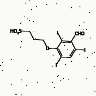 O=Cc1c(I)cc(I)c(OCCCS(=O)(=O)O)c1I